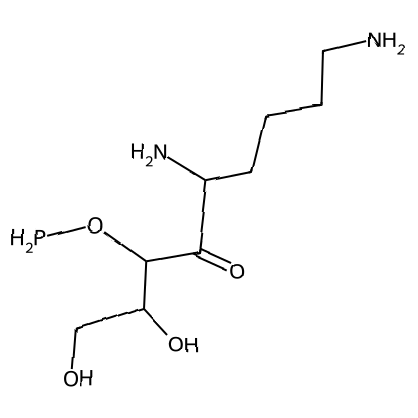 NCCCCC(N)C(=O)C(OP)C(O)CO